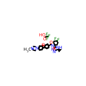 CN1CCN(c2ccc3c(c2)oc2cc(C(=O)NC4(C(=O)NC5(C#N)CC5)CCC(F)(F)CC4)ccc23)CC1.O=C(O)C(F)(F)F